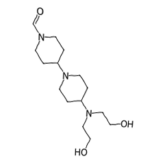 O=CN1CCC(N2CCC(N(CCO)CCO)CC2)CC1